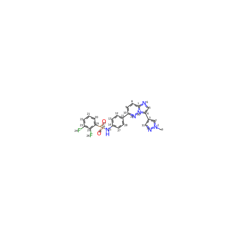 Cn1cc(-c2cnc3ccc(-c4ccc(NS(=O)(=O)c5cccc(F)c5F)cc4)nn23)cn1